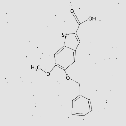 COc1cc2[se]c(C(=O)O)cc2cc1OCc1ccccc1